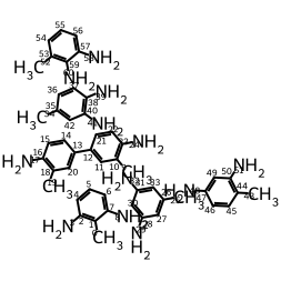 Cc1c(N)cccc1N.Cc1cc(-c2ccc(N)c(C)c2)ccc1N.Cc1cc(N)cc(N)c1.Cc1ccc(N)c(N)c1.Cc1ccc(N)cc1N.Cc1cccc(N)c1N